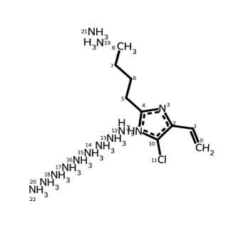 C=Cc1nc(CCCC)[nH]c1Cl.N.N.N.N.N.N.N.N.N.N.N